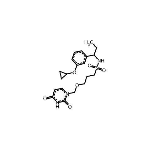 CCC(NS(=O)(=O)CCCOCn1ccc(=O)[nH]c1=O)c1cccc(OC2CC2)c1